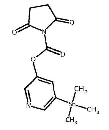 [CH3][Sn]([CH3])([CH3])[c]1cncc(OC(=O)N2C(=O)CCC2=O)c1